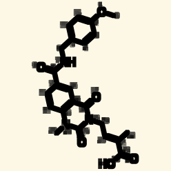 COc1ccc(CNC(=O)c2ccc3c(c2)c(=O)n(C/C=C(\C)C(=O)O)c(=O)n3C)cc1